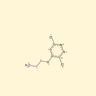 CCCOc1cc(Cl)nnc1Cl